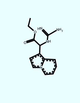 CCOC(=O)C(NC(=N)N)c1ccn2ccccc12